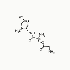 CC(C)C(=O)CN(C)C(=O)CNC(=O)[C@@H](N)COC(=O)CN